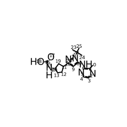 Cc1nccnc1Nc1cc(C2CC[C@H](NC(=O)O)C2)nn1C(C)(C)C